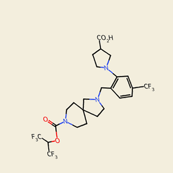 O=C(O)C1CCN(c2cc(C(F)(F)F)ccc2CN2CCC3(CCN(C(=O)OC(C(F)(F)F)C(F)(F)F)CC3)C2)C1